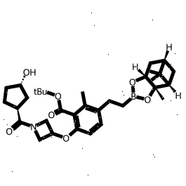 Cc1c(CCB2O[C@@H]3C[C@@H]4C[C@@H](C4(C)C)[C@]3(C)O2)ccc(OC2CN(C(=O)[C@H]3CC[C@H](O)C3)C2)c1C(=O)OC(C)(C)C